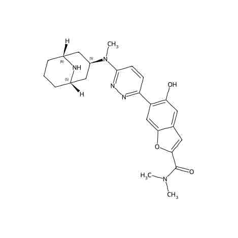 CN(C)C(=O)c1cc2cc(O)c(-c3ccc(N(C)[C@@H]4C[C@H]5CCC[C@@H](C4)N5)nn3)cc2o1